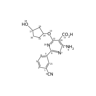 N#Cc1cccc(-c2nc(N)c(C(=O)O)c(OC3CCC(O)C3)n2)c1